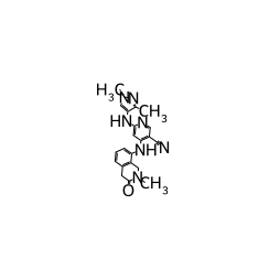 Cc1nn(C)cc1Nc1cc(Nc2cccc3c2CN(C)C(=O)C3)c(C#N)cn1